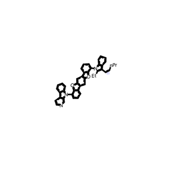 CCC/C=C\c1c(CC)n(-c2cccc3c2oc2cc4c(cc23)oc2c(-n3c5ccccc5c5ccncc53)cccc24)c2ccccc12